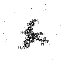 CC(C)(C)OC(=O)N[C@H](CCCCNC(=O)C(F)(F)F)C(=O)OC1C(COP(=O)(O)O[C@H]2C[C@H](n3ccc(N)nc3=O)O[C@@H]2COP(=O)(O)O)OC(n2cnc3c(N)ncnc32)C1O